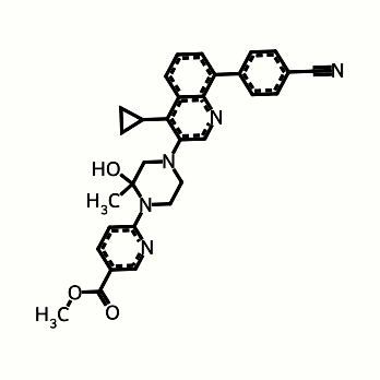 COC(=O)c1ccc(N2CCN(c3cnc4c(-c5ccc(C#N)cc5)cccc4c3C3CC3)CC2(C)O)nc1